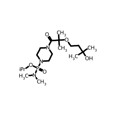 CC(C)OP(=O)(N(C)C)N1CCN(C(=O)C(C)(C)OCCC(C)(C)O)CC1